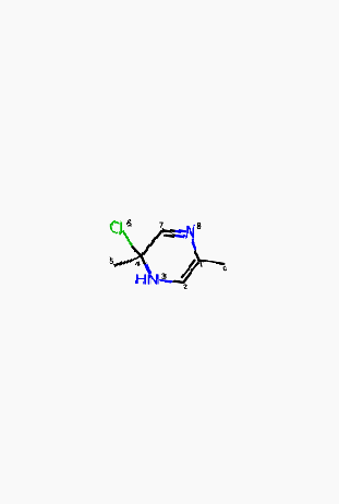 CC1=CNC(C)(Cl)C=N1